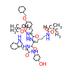 CC(C)(C)OC(=O)NCCCC[C@H](NC(=O)[C@H](Cc1ccc(OCc2ccccc2)cc1)NC(=O)OC(C)(C)C)C(=O)N[C@@H](Cc1c[nH]c2ccccc12)C(=O)Nc1ccc(O)cc1